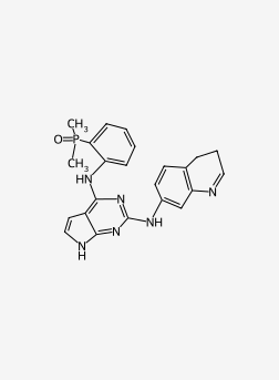 CP(C)(=O)c1ccccc1Nc1nc(Nc2ccc3c(c2)N=CCC3)nc2[nH]ccc12